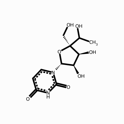 CC(O)[C@]1(CO)O[C@@H](n2ccc(=O)[nH]c2=O)[C@H](O)[C@@H]1O